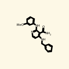 COc1cccc(Nc2nccc(NCc3ccccc3)c2C(N)=O)c1